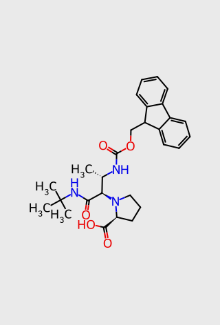 C[C@H](NC(=O)OCC1c2ccccc2-c2ccccc21)[C@H](C(=O)NC(C)(C)C)N1CCC[C@H]1C(=O)O